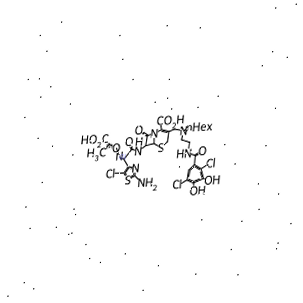 CCCCCCN(CCNC(=O)c1cc(Cl)c(O)c(O)c1Cl)CC1=C(C(=O)O)N2C(=O)C(NC(=O)/C(=N\O[C@@H](C)C(=O)O)c3nc(N)sc3Cl)C2SC1